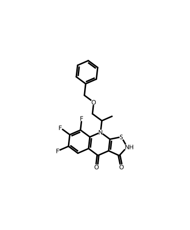 CC(COCc1ccccc1)n1c2s[nH]c(=O)c2c(=O)c2cc(F)c(F)c(F)c21